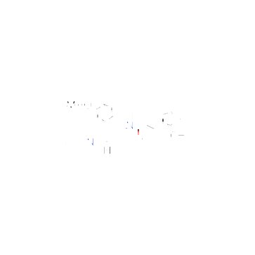 COc1cccc([C@@]23CCN(CC4CC4)C[C@H]2CC[C@H](NC(=O)/C=C/c2ccoc2C)C3)c1